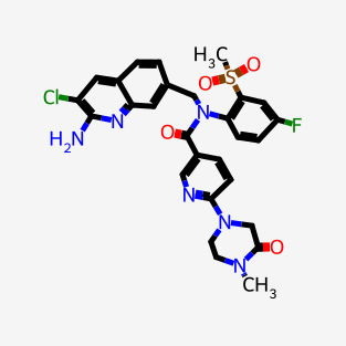 CN1CCN(c2ccc(C(=O)N(Cc3ccc4cc(Cl)c(N)nc4c3)c3ccc(F)cc3S(C)(=O)=O)cn2)CC1=O